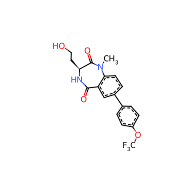 CN1C(=O)[C@H](CCO)NC(=O)c2cc(-c3ccc(OC(F)(F)F)cc3)ccc21